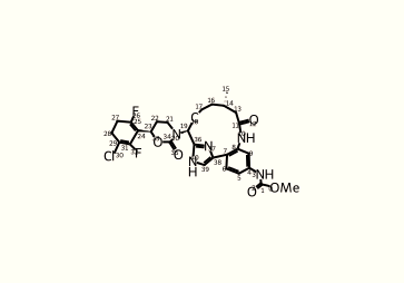 COC(=O)Nc1ccc2c(c1)NC(=O)C[C@@H](C)CCC[C@H](N1CC[C@H](C3=C(F)CCC(Cl)=C3F)OC1=O)c1nc-2c[nH]1